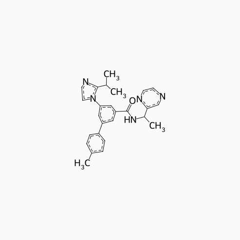 Cc1ccc(-c2cc(C(=O)NC(C)c3cnccn3)cc(-n3ccnc3C(C)C)c2)cc1